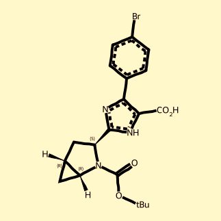 CC(C)(C)OC(=O)N1[C@@H]2C[C@@H]2C[C@H]1c1nc(-c2ccc(Br)cc2)c(C(=O)O)[nH]1